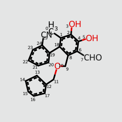 Cc1c(O)c(O)c(C=O)c(COCc2ccccc2)c1-c1ccccc1C#N